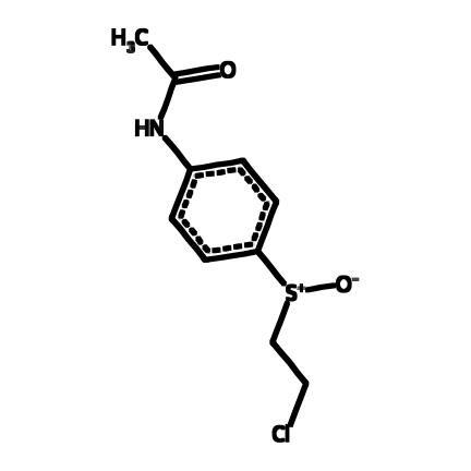 CC(=O)Nc1ccc([S+]([O-])CCCl)cc1